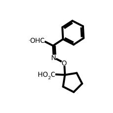 O=[C]/C(=N/OC1(C(=O)O)CCCC1)c1ccccc1